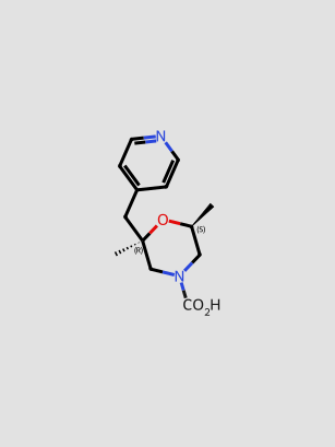 C[C@H]1CN(C(=O)O)C[C@@](C)(Cc2ccncc2)O1